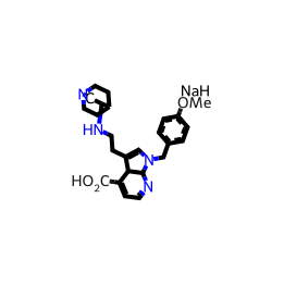 COc1ccc(CN2C=C(CCNC3CN4CCC3CC4)C3C(C(=O)O)=CC=NC32)cc1.[NaH]